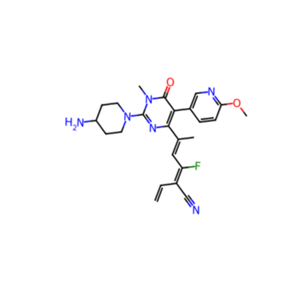 C=C/C(C#N)=C(F)\C=C(/C)c1nc(N2CCC(N)CC2)n(C)c(=O)c1-c1ccc(OC)nc1